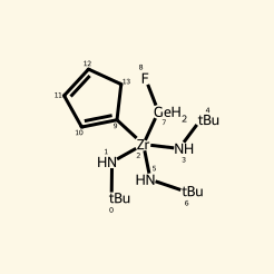 CC(C)(C)[NH][Zr]([NH]C(C)(C)C)([NH]C(C)(C)C)([GeH2][F])[C]1=CC=CC1